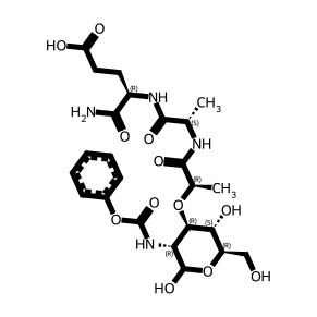 C[C@H](NC(=O)[C@@H](C)O[C@H]1[C@H](O)[C@@H](CO)OC(O)[C@@H]1NC(=O)Oc1ccccc1)C(=O)N[C@H](CCC(=O)O)C(N)=O